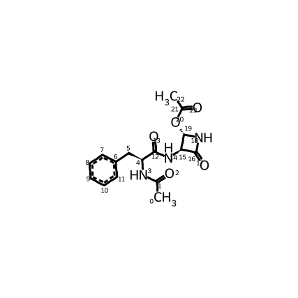 CC(=O)N[C@@H](Cc1ccccc1)C(=O)N[C@@H]1C(=O)N[C@H]1OC(C)=O